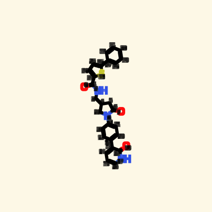 O=C(NCC1CC(=O)N(c2ccc(-c3ccc[nH]c3=O)cc2)C1)c1ccc(-c2ccccc2)s1